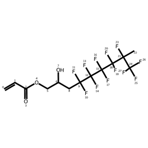 C=CC(=O)OCC(O)CC(F)(F)C(F)(F)C(F)(F)C(F)(F)C(C)(F)C(F)(F)F